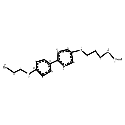 CCCCCOCCCOc1cnc(-c2ccc(OCCC(C)CC)cc2)nc1